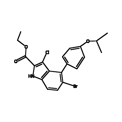 CCOC(=O)c1[nH]c2ccc(Br)c(-c3ccc(OC(C)C)cc3)c2c1Cl